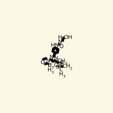 C=C(C)S(=O)(=O)C(C)(C)c1cc(N2CCOC[C@@H]2C)nc(-c2ccc(NC(=O)NCCO)cc2)n1